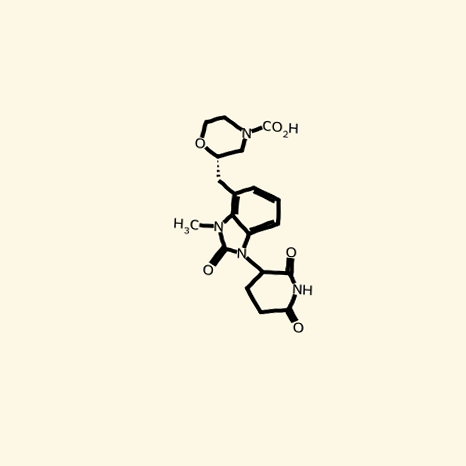 Cn1c(=O)n(C2CCC(=O)NC2=O)c2cccc(C[C@H]3CN(C(=O)O)CCO3)c21